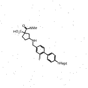 CCCCCCCc1ccc(-c2ccc(CNC3CCC(C(=O)O)(C(=O)NC)C3)cc2F)cc1